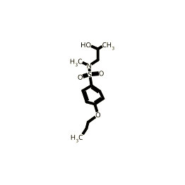 CCCOc1ccc(S(=O)(=O)N(C)CC(C)O)cc1